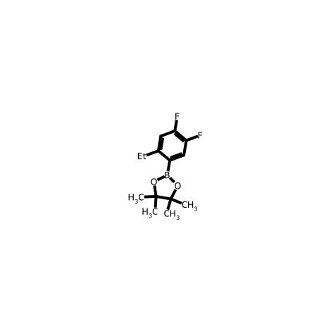 CCc1cc(F)c(F)cc1B1OC(C)(C)C(C)(C)O1